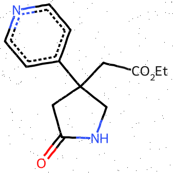 CCOC(=O)CC1(c2ccncc2)CNC(=O)C1